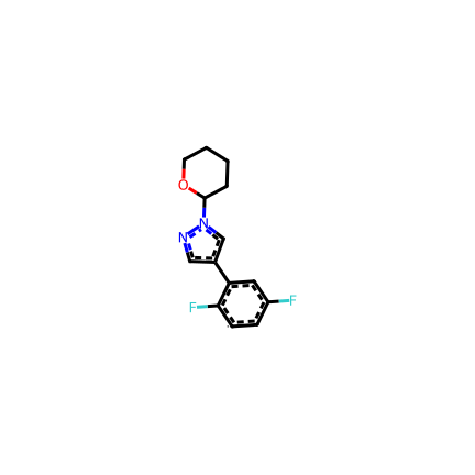 Fc1c[c]c(F)c(-c2cnn(C3CCCCO3)c2)c1